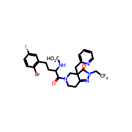 O=C(O)NC(CCc1cc(F)ccc1Br)C(=O)N1CCC2=NN(CC(F)(F)F)C(=O)C2(Cc2ccccn2)C1